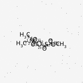 CCCN(CCC)S(=O)(=O)c1ccc(C(=O)SCC(=O)OCC)cc1